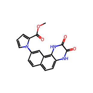 COC(=O)c1cccn1-c1ccc2ccc3[nH]c(=O)c(=O)[nH]c3c2c1